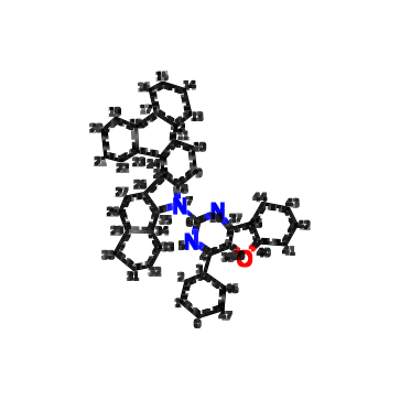 c1ccc(-c2nc(-n3c4ccc5c6ccccc6c6ccccc6c5c4c4ccc5ccccc5c43)nc3c2oc2ccccc23)cc1